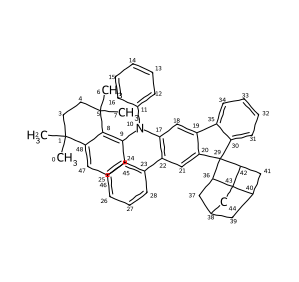 CC1(C)CCC(C)(C)c2c(N(c3ccccc3)c3cc4c(cc3-c3ccccc3)C3(c5ccccc5-4)C4CC5CC6CC3C64C5)cccc21